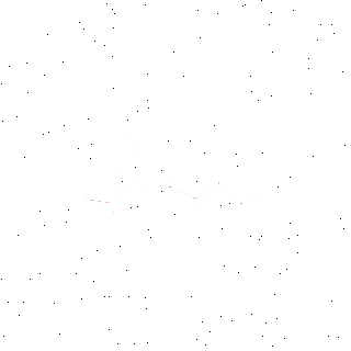 CCCCCSP(=S)(OC)OC